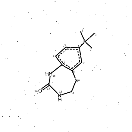 CC(C)(C)c1ccc2c(c1)CCNC(=O)N2